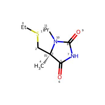 CCSC[C@]1(C)C(=O)NC(=O)N1C(C)C